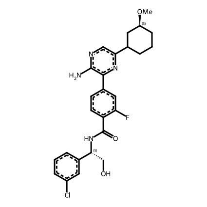 CO[C@H]1CCCC(c2cnc(N)c(-c3ccc(C(=O)N[C@H](CO)c4cccc(Cl)c4)c(F)c3)n2)C1